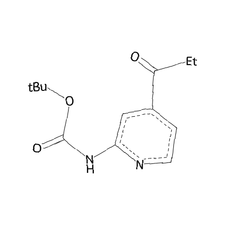 [CH2]CC(=O)c1ccnc(NC(=O)OC(C)(C)C)c1